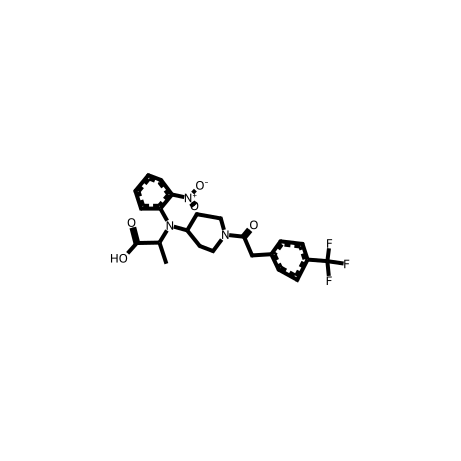 CC(C(=O)O)N(c1ccccc1[N+](=O)[O-])C1CCN(C(=O)Cc2ccc(C(F)(F)F)cc2)CC1